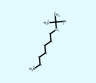 CC(C)C(C)(C)OCCCCCCN